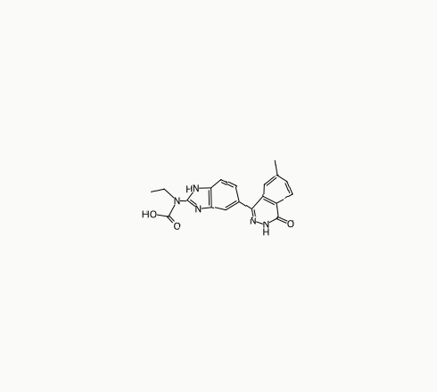 CCN(C(=O)O)c1nc2cc(-c3n[nH]c(=O)c4ccc(C)cc34)ccc2[nH]1